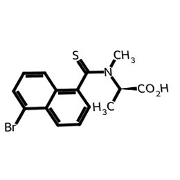 C[C@H](C(=O)O)N(C)C(=S)c1cccc2c(Br)cccc12